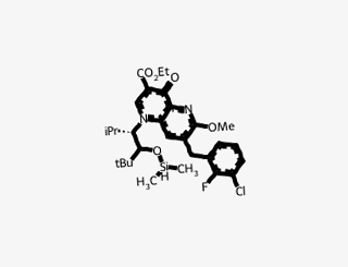 CCOC(=O)c1cn([C@@H](C(C)C)C(O[SiH](C)C)C(C)(C)C)c2cc(Cc3cccc(Cl)c3F)c(OC)nc2c1=O